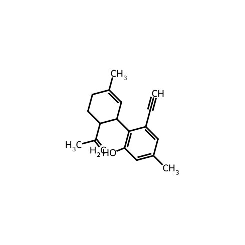 C#Cc1cc(C)cc(O)c1C1C=C(C)CCC1C(=C)C